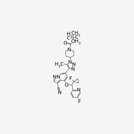 Cc1c(-c2cc(OC(c3ccc(F)cn3)C3(F)CC3)c3c(C#N)cnn3c2)nnn1C1CCN(C(=O)OC(C)(C)C)CC1